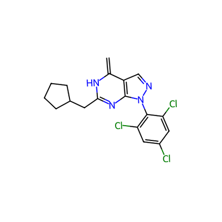 C=C1NC(CC2CCCC2)=Nc2c1cnn2-c1c(Cl)cc(Cl)cc1Cl